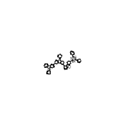 c1ccc(-c2nc(-c3ccccc3)nc(-c3ccc4c(c3)oc3cccc(-c5ccc6c(c5)c5cc(-c7ccc8c(c7)c7ccccc7n8-c7ccccc7)ccc5n6-c5ccccc5)c34)n2)cc1